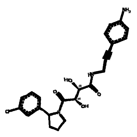 Nc1ccc(C#CCNC(=O)[C@H](O)[C@@H](O)C(=O)N2CCCC2c2cccc(Cl)c2)cc1